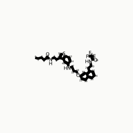 CCCCC(=O)NCCc1csc2ccc(NCCCOc3ccc4cccc(CCNC(=O)C(F)(F)F)c4c3)cc12